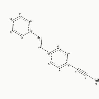 [SiH3]C#Cc1ccc(C=Cc2ccccc2)cc1